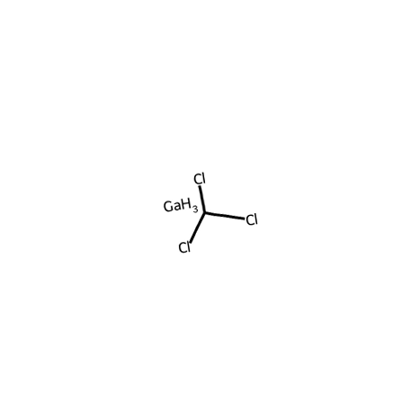 ClC(Cl)Cl.[GaH3]